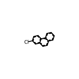 Clc1ccc2c(ccc3ccccc32)c1